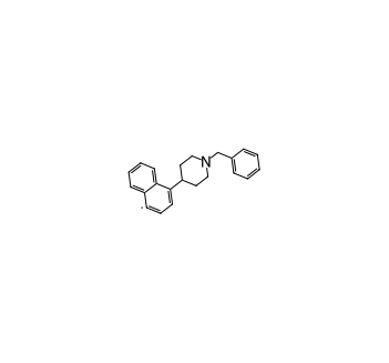 [c]1ccc(C2CCN(Cc3ccccc3)CC2)c2ccccc12